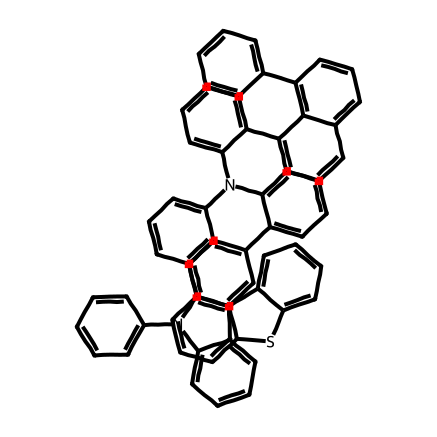 c1ccc(-c2cccc3cccc(-c4ccccc4N(c4cccc(-c5cccc6sc7ccccc7c56)c4)c4ccccc4-c4ccc5c(c4)c4ccccc4n5-c4ccccc4)c23)cc1